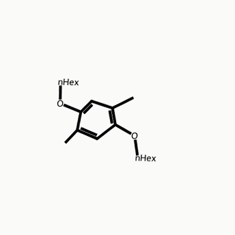 CCCCCCOc1cc(C)c(OCCCCCC)cc1C